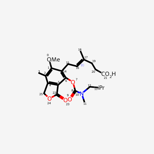 COc1c(C)c2c(c(OC(=O)N(C)CC(C)C)c1C/C=C(\C)CCC(=O)O)C(=O)OC2